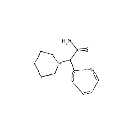 NC(=S)C(c1ccccn1)N1CCCCC1